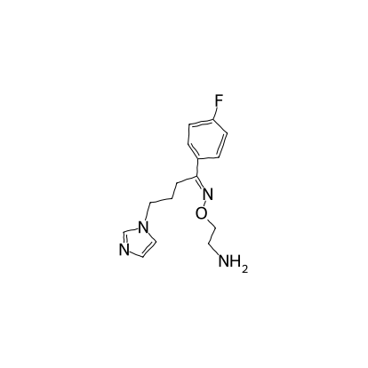 NCCON=C(CCCn1ccnc1)c1ccc(F)cc1